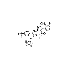 CNC(=O)CCc1sc(-n2nc(C)c(-c3cccc(F)c3)c2C(=O)O)nc1-c1ccc(C(F)(F)F)cc1